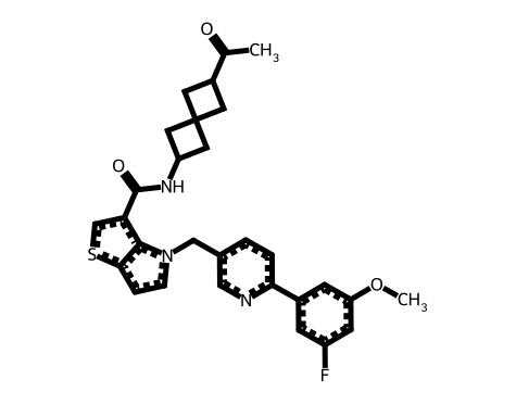 COc1cc(F)cc(-c2ccc(Cn3ccc4scc(C(=O)NC5CC6(C5)CC(C(C)=O)C6)c43)cn2)c1